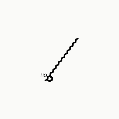 CCCCCCCCCCCCCCCCCCCCc1cccc(C)c1O